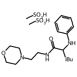 CCC(C)C(Nc1ccccc1)C(=O)NCCN1CCOCC1.CS(=O)(=O)O.CS(=O)(=O)O